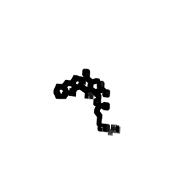 CCOC(=O)CCCC(=O)OC[C@]1(CC)C(=O)OCc2c1cc1n(c2=O)Cc2cc3ccccc3nc2-1